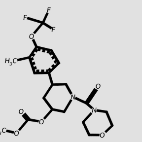 COC(=O)OC1CC(c2ccc(OC(F)(F)F)c(C)c2)CN(C(=O)N2CCOCC2)C1